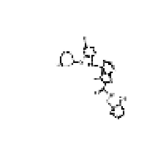 Cc1c(C(=O)NCc2ccccc2C#N)sc2ncnc(Nc3ccc(F)cc3OC3CCCNC3)c12